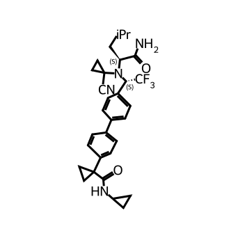 CC(C)C[C@@H](C(N)=O)N([C@@H](c1ccc(-c2ccc(C3(C(=O)NC4CC4)CC3)cc2)cc1)C(F)(F)F)C1(C#N)CC1